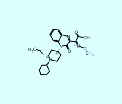 CCC[C@@H]1C[C@H](n2c(=O)c(/C(=N/OC)C(=O)O)nc3ccccc32)CCN1C1CCCCC1